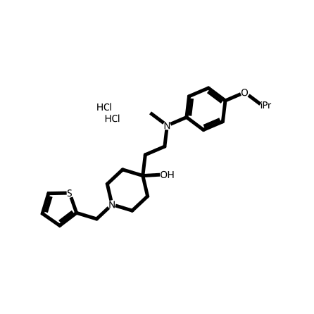 CC(C)Oc1ccc(N(C)CCC2(O)CCN(Cc3cccs3)CC2)cc1.Cl.Cl